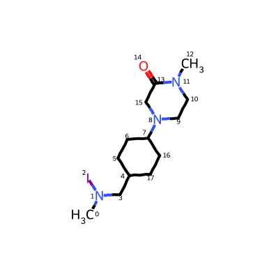 CN(I)CC1CCC(N2CCN(C)C(=O)C2)CC1